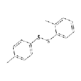 Cc1ccc(SSc2ccccc2C)cc1